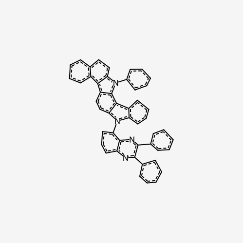 c1ccc(-c2nc3cccc(-n4c5ccccc5c5c4ccc4c6c7ccccc7ccc6n(-c6ccccc6)c45)c3nc2-c2ccccc2)cc1